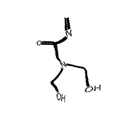 C=NC(=O)N(CO)CO